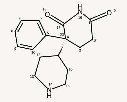 O=C1CC[C@](c2ccccc2)(C2CCNCC2)C(=O)N1